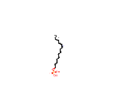 CCCC/C=C\CCCCCCCCOP(=O)(O)O